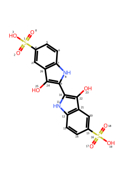 O=S(=O)(O)c1ccc2[nH]c(-c3[nH]c4ccc(S(=O)(=O)O)cc4c3O)c(O)c2c1